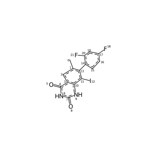 Cc1cc2c(=O)[nH]c(=O)[nH]c2c(I)c1-c1ccc(F)cc1F